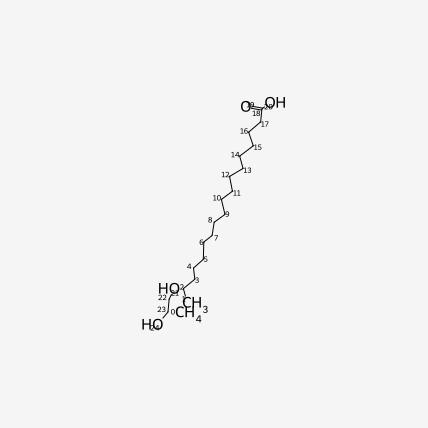 C.CCCCCCCCCCCCCCCCCC(=O)O.OCCO